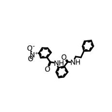 O=C(Nc1ccccc1C(=O)NCCc1ccccc1)c1cccc([N+](=O)[O-])c1